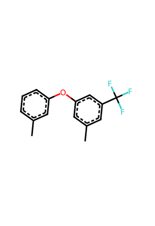 Cc1cccc(Oc2cc(C)cc(C(F)(F)F)c2)c1